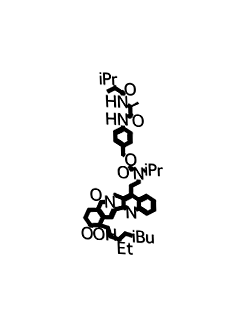 CCC(C)CC(CC)CC[C@]1(O)C(=O)CCc2c1cc1n(c2=O)Cc2c-1nc1ccccc1c2CCN(C(=O)OCc1ccc(NC(=O)[C@H](C)NC(=O)[C@@H](C)C(C)C)cc1)C(C)C